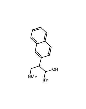 CNCC(c1ccc2ccccc2c1)C(O)C(C)C